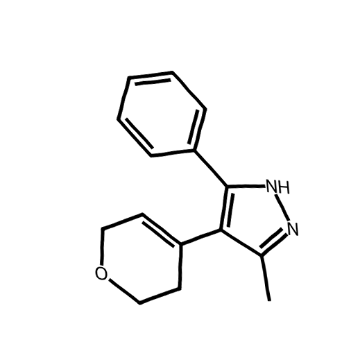 Cc1n[nH]c(-c2ccccc2)c1C1=CCOCC1